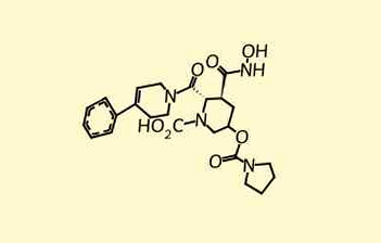 O=C(NO)[C@H]1CC(OC(=O)N2CCCC2)CN(C(=O)O)[C@@H]1C(=O)N1CC=C(c2ccccc2)CC1